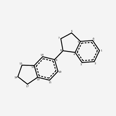 [c]1cccc2c1CCC2c1ccc2c(c1)CCC2